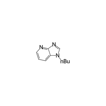 CCCCn1cnc2ncccc21